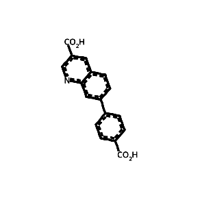 O=C(O)c1ccc(-c2ccc3cc(C(=O)O)cnc3c2)cc1